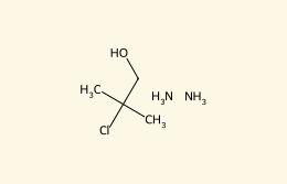 CC(C)(Cl)CO.N.N